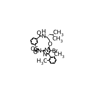 Cc1cccc(C)c1-c1nc2nc(c1Br)OC[C@@H](CC(C)C)NC(=O)c1cccc(c1)S(=O)(=O)N2